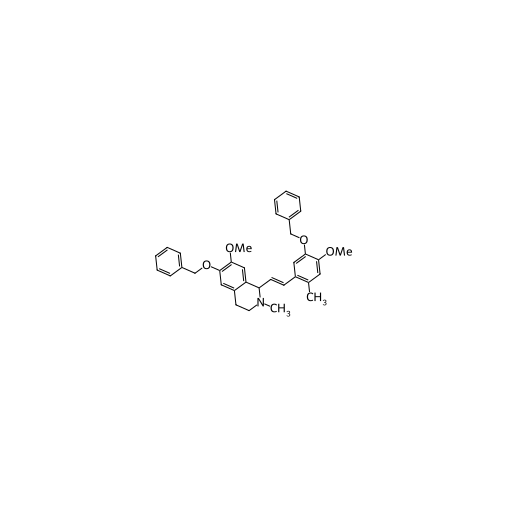 COc1cc(C)c(C=CC2c3cc(OC)c(OCc4ccccc4)cc3CCN2C)cc1OCc1ccccc1